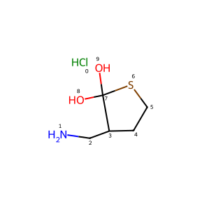 Cl.NCC1CCSC1(O)O